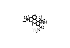 C=CC(=O)N1CCc2c(-c3c(F)cc(C(N)=O)c4[nH]c(C)c(Cl)c34)cccc2C1C